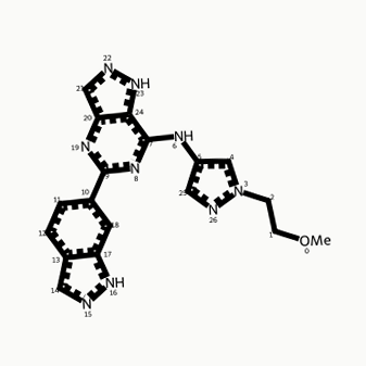 COCCn1cc(Nc2nc(-c3ccc4cn[nH]c4c3)nc3cn[nH]c23)cn1